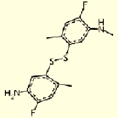 CNc1cc(SSc2cc(N)c(F)cc2C)c(C)cc1F